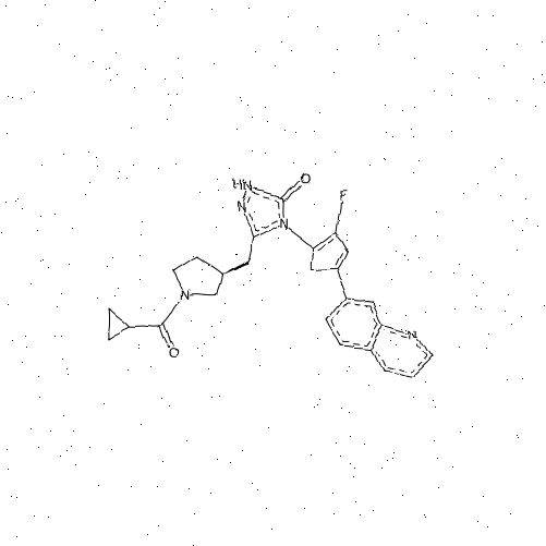 O=C(C1CC1)N1CC[C@@H](Cc2n[nH]c(=O)n2C2=C(F)C=C(c3ccc4cccnc4c3)C2)C1